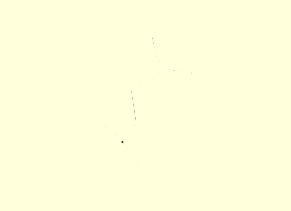 C[S+]([O-])CCC(C)(C)C